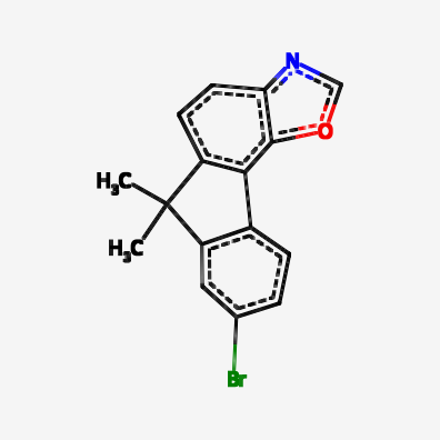 CC1(C)c2cc(Br)ccc2-c2c1ccc1ncoc21